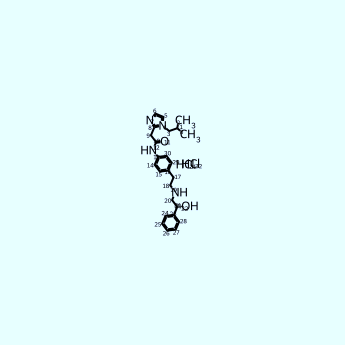 CC(C)Cn1ccnc1CC(=O)Nc1ccc(CCNC[C@H](O)c2ccccc2)cc1.Cl.Cl